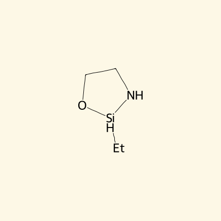 CC[SiH]1NCCO1